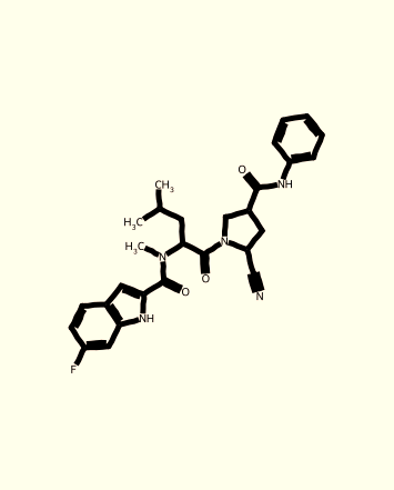 CC(C)CC(C(=O)N1CC(C(=O)Nc2ccccc2)CC1C#N)N(C)C(=O)c1cc2ccc(F)cc2[nH]1